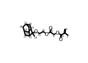 C=C(C)C(=O)OCC(=O)OCCOC1(C)C2CC3CC(C2)CC1C3